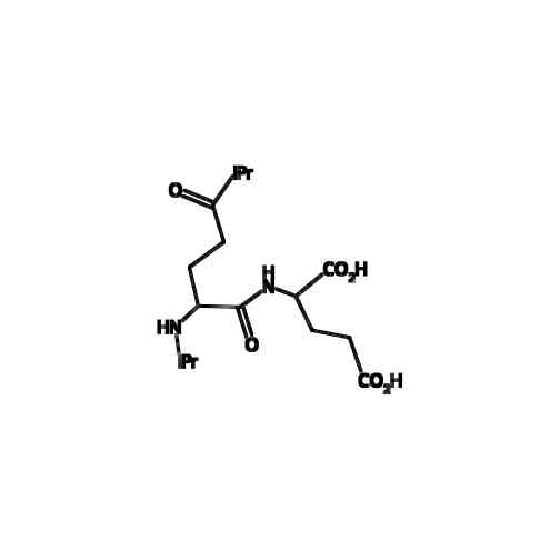 CC(C)NC(CCC(=O)C(C)C)C(=O)NC(CCC(=O)O)C(=O)O